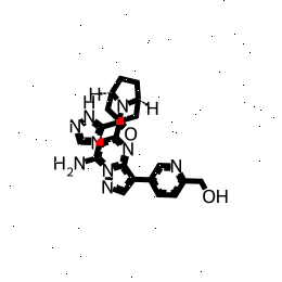 Nc1cc(C2C[C@H]3CC[C@@H](C2)N3C(=O)c2ncn[nH]2)nc2c(-c3ccc(CO)nc3)cnn12